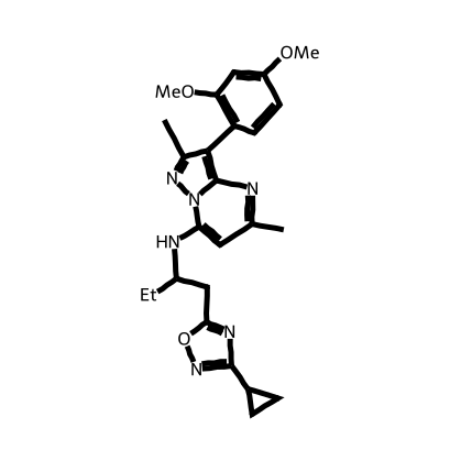 CCC(Cc1nc(C2CC2)no1)Nc1cc(C)nc2c(-c3ccc(OC)cc3OC)c(C)nn12